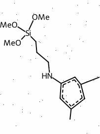 CO[Si](CCCNc1cc(C)cc(C)c1)(OC)OC